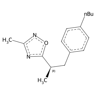 CCCCc1ccc(C[C@@H](C)c2nc(C)no2)cc1